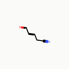 N#CCC=CC=O